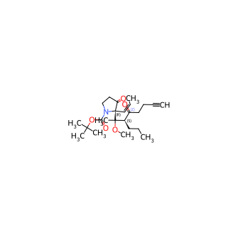 C#CCCC(=O)[C@@H](CCC)C(C)(OC)[C@]1(/C=C\C)C(=O)CCN1C(=O)OC(C)(C)C